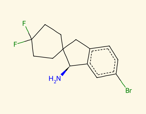 N[C@@H]1c2cc(Br)ccc2CC12CCC(F)(F)CC2